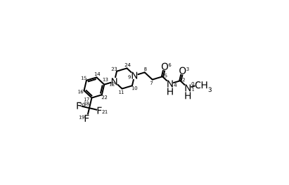 CNC(=O)NC(=O)CCN1CCN(c2cccc(C(F)(F)F)c2)CC1